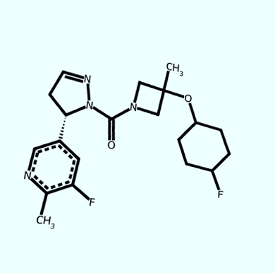 Cc1ncc([C@@H]2CC=NN2C(=O)N2CC(C)(OC3CCC(F)CC3)C2)cc1F